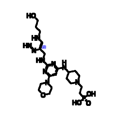 N=N/C(=C\NCCCO)CNc1nc(NC2CCN(CCP(=O)(O)O)CC2)cc(N2CCOCC2)n1